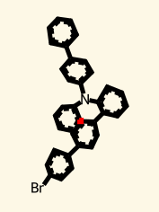 Brc1ccc(-c2ccc(-c3ccccc3N(c3ccccc3)c3ccc(-c4ccccc4)cc3)cc2)cc1